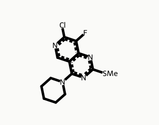 CSc1nc(N2CCCCC2)c2cnc(Cl)c(F)c2n1